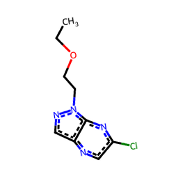 CCOCCn1ncc2ncc(Cl)nc21